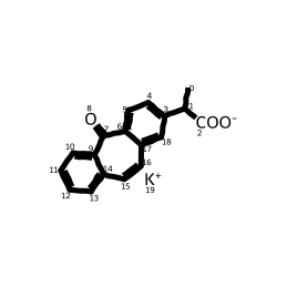 CC(C(=O)[O-])c1ccc2c(=O)c3ccccc3ccc2c1.[K+]